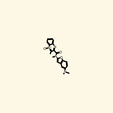 Cc1c(C(=O)N(C)c2cc3cc(N(C)C)ccc3o2)nc2ccccc2[n+]1[O-]